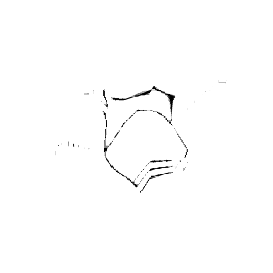 C1#[N+][C@@H]2CN[C@H]1C2